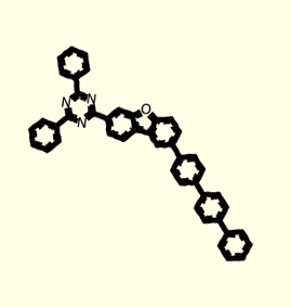 c1ccc(-c2ccc(-c3ccc(-c4ccc5oc6cc(-c7nc(-c8ccccc8)nc(-c8ccccc8)n7)ccc6c5c4)cc3)cc2)cc1